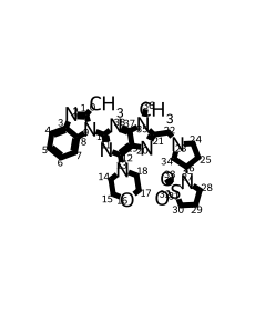 Cc1nc2ccccc2n1-c1nc(N2CCOCC2)c2nc(CN3CC[C@H](N4CCCS4(=O)=O)C3)n(C)c2n1